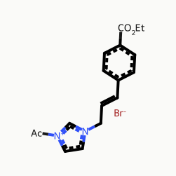 CCOC(=O)c1ccc(/C=C/Cn2cc[n+](C(C)=O)c2)cc1.[Br-]